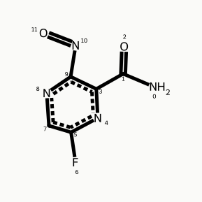 NC(=O)c1nc(F)cnc1N=O